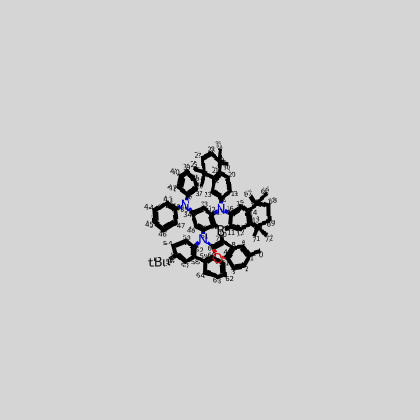 Cc1ccc2oc3c(c2c1)B1c2cc4c(cc2N(c2ccc5c(c2)C(C)(C)CCC5(C)C)c2cc(N(c5ccccc5)c5ccccc5)cc(c21)N3c1ccc(C(C)(C)C)cc1-c1ccccc1)C(C)(C)CCC4(C)C